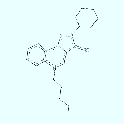 CCCCCn1cc2c(=O)n(C3CCCCC3)nc-2c2ccccc21